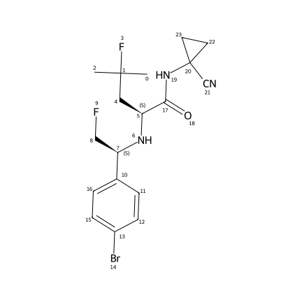 CC(C)(F)C[C@H](N[C@H](CF)c1ccc(Br)cc1)C(=O)NC1(C#N)CC1